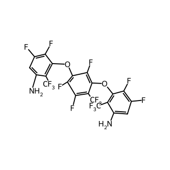 Nc1cc(F)c(F)c(Oc2c(F)c(F)c(C(F)(F)F)c(Oc3c(F)c(F)cc(N)c3C(F)(F)F)c2F)c1C(F)(F)F